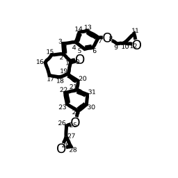 O=C1C(=Cc2ccc(OCC3CO3)cc2)CCCCC1=Cc1ccc(OCC2CO2)cc1